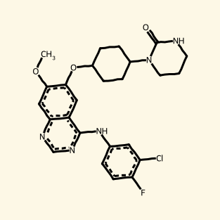 COc1cc2ncnc(Nc3ccc(F)c(Cl)c3)c2cc1OC1CCC(N2CCCNC2=O)CC1